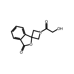 O=C1OC2(CN(C(=O)CO)C2)c2ccccc21